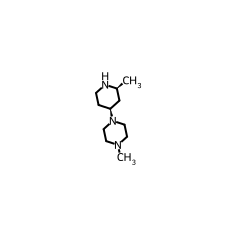 C[C@H]1C[C@@H](N2CCN(C)CC2)CCN1